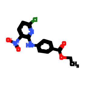 CCOC(=O)c1ccc(Nc2nc(Cl)ccc2[N+](=O)[O-])cc1